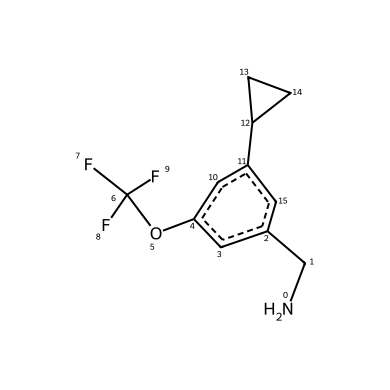 NCc1cc(OC(F)(F)F)cc(C2CC2)c1